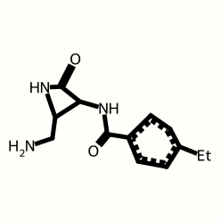 CCc1ccc(C(=O)NC2C(=O)NC2CN)cc1